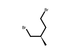 C[C@@H](CBr)CCBr